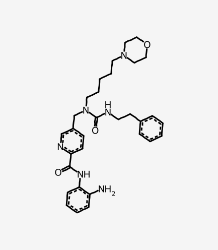 Nc1ccccc1NC(=O)c1ccc(CN(CCCCCN2CCOCC2)C(=O)NCCc2ccccc2)cn1